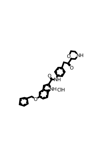 Cl.O=C(Nc1ccc(CC(=O)C2CNCCO2)cc1)c1cc2cc(OCc3ccccc3)ccc2[nH]1